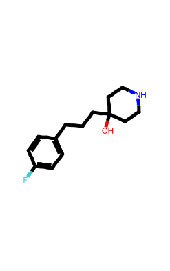 OC1(CCCc2ccc(F)cc2)CCNCC1